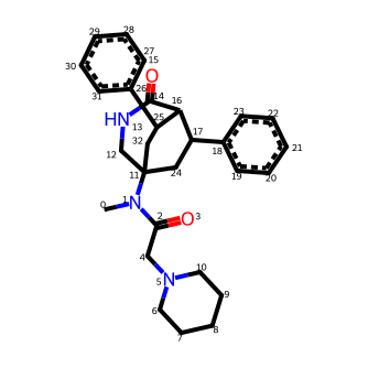 CN(C(=O)CN1CCCCC1)C12CNC(=O)C(C(c3ccccc3)C1)C(c1ccccc1)C2